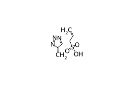 C=C1C=NN=N1.C=CCS(=O)(=O)O